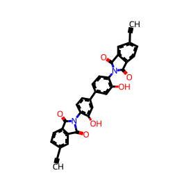 C#Cc1ccc2c(c1)C(=O)N(c1ccc(-c3ccc(N4C(=O)c5ccc(C#C)cc5C4=O)c(O)c3)cc1O)C2=O